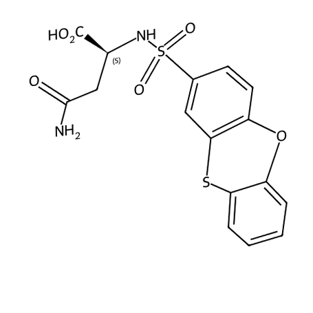 NC(=O)C[C@H](NS(=O)(=O)c1ccc2c(c1)Sc1ccccc1O2)C(=O)O